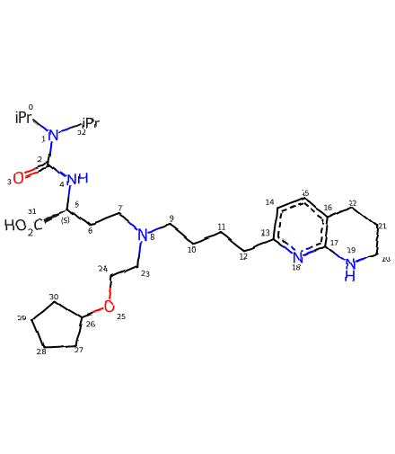 CC(C)N(C(=O)N[C@@H](CCN(CCCCc1ccc2c(n1)NCCC2)CCOC1CCCC1)C(=O)O)C(C)C